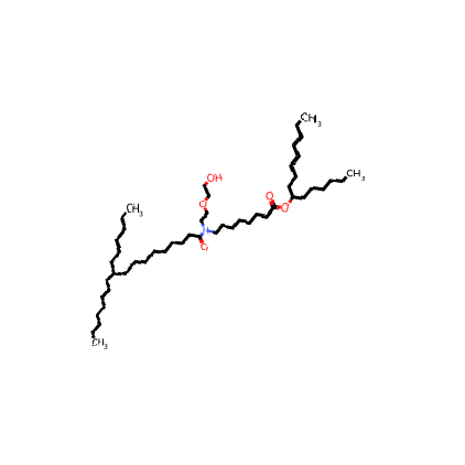 CCCCCCCCC(CCCCCC)CCCCCCCCC(=O)N(CCCCCCCC(=O)OC(CCCCCC)CCCCCCCC)CCOCCO